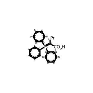 CC(C)C(C(=O)O)=P(c1ccccc1)(c1ccccc1)c1ccccc1